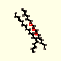 CC/C=C/CCCCCCCC/C=C\CCCC.CCCCCCOCOCOCCCCCC